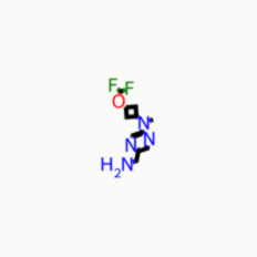 CN(c1cnc(CN)cn1)C1CC(OC(F)F)C1